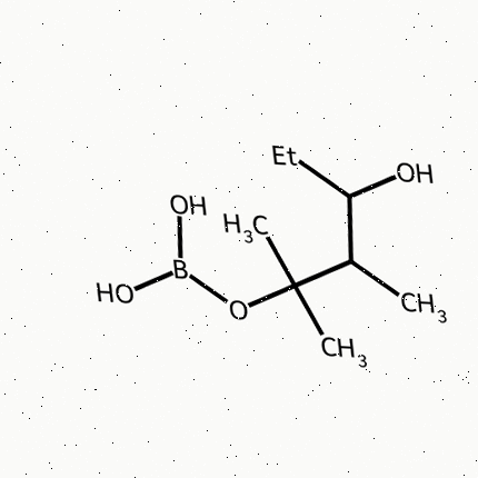 CCC(O)C(C)C(C)(C)OB(O)O